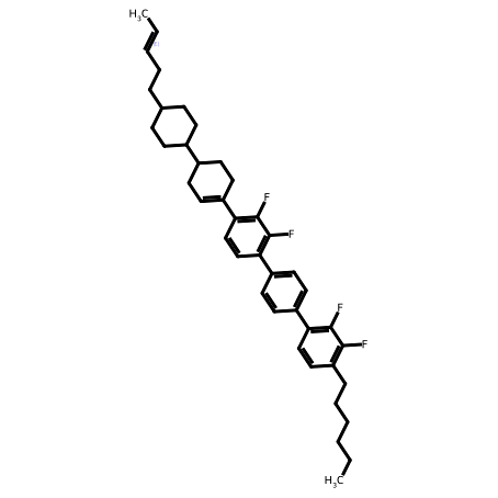 C/C=C/CCC1CCC(C2CC=C(c3ccc(-c4ccc(-c5ccc(CCCCCC)c(F)c5F)cc4)c(F)c3F)CC2)CC1